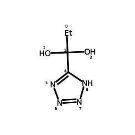 CCC(O)(O)c1nnn[nH]1